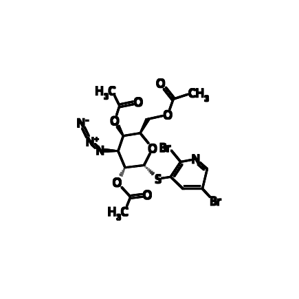 CC(=O)OC[C@H]1O[C@H](Sc2cc(Br)cnc2Br)[C@H](OC(C)=O)[C@@H](N=[N+]=[N-])[C@H]1OC(C)=O